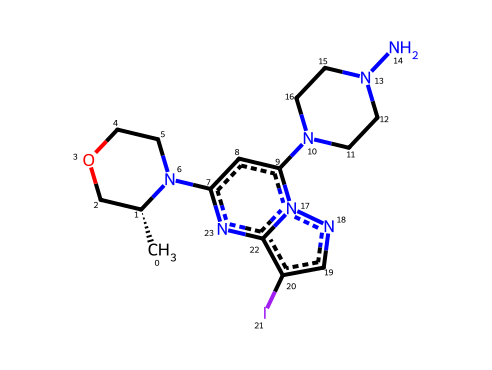 C[C@@H]1COCCN1c1cc(N2CCN(N)CC2)n2ncc(I)c2n1